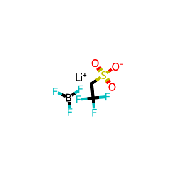 FB(F)F.O=S(=O)([O-])CC(F)(F)F.[Li+]